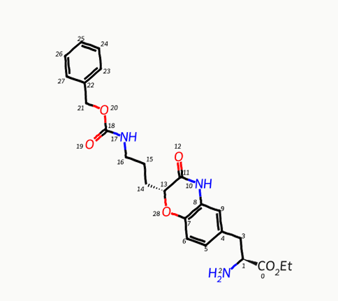 CCOC(=O)[C@@H](N)Cc1ccc2c(c1)NC(=O)[C@@H](CCCNC(=O)OCc1ccccc1)O2